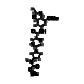 COc1cc(NC(=O)c2cnc(N3CC[C@@H](N(C)C(=O)OC(C)(C)C)C3)cn2)cc2oc(C)nc12